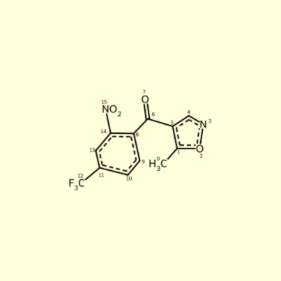 Cc1oncc1C(=O)c1ccc(C(F)(F)F)cc1[N+](=O)[O-]